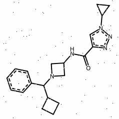 O=C(NC1CN(C(c2ccccc2)C2CCC2)C1)c1cn(C2CC2)nn1